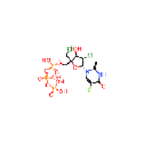 C=C1NC(=O)C(F)=CN1[C@@H]1O[C@](CCl)(COP(=O)(O)OP(=O)(O)OP(=O)(O)O)[C@@H](O)[C@H]1Cl